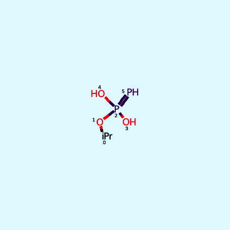 CC(C)OP(O)(O)=P